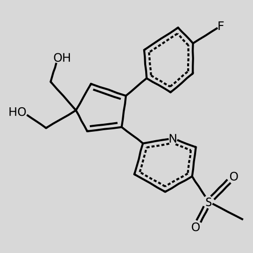 CS(=O)(=O)c1ccc(C2=CC(CO)(CO)C=C2c2ccc(F)cc2)nc1